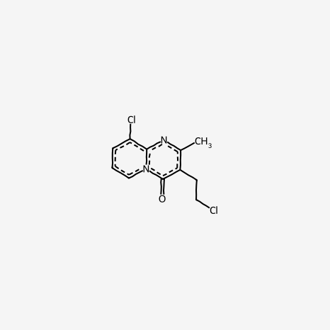 Cc1nc2c(Cl)cccn2c(=O)c1CCCl